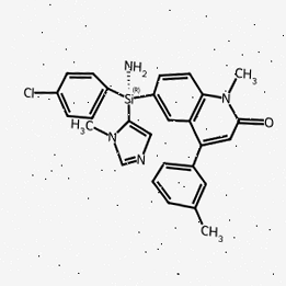 Cc1cccc(-c2cc(=O)n(C)c3ccc([Si@](N)(c4ccc(Cl)cc4)c4cncn4C)cc23)c1